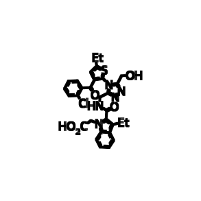 CCc1cc(C(=O)c2ccccc2Cl)c(-n2c(CO)nnc2CNC(=O)c2c(CC)c3ccccc3n2CC(=O)O)s1